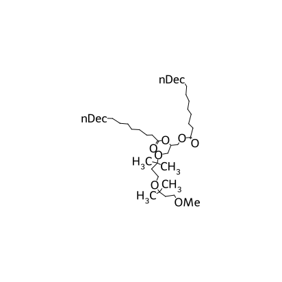 CCCCCCCCCCCCCCCCCC(=O)OCC(COC(C)(C)CCOC(C)(C)CCOC)OC(=O)CCCCCCCCCCCCCCCCC